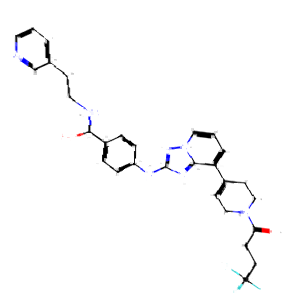 O=C(CCC(F)(F)F)N1CC=C(c2cccn3nc(Nc4ccc(C(O)NCCc5cccnc5)cc4)nc23)CC1